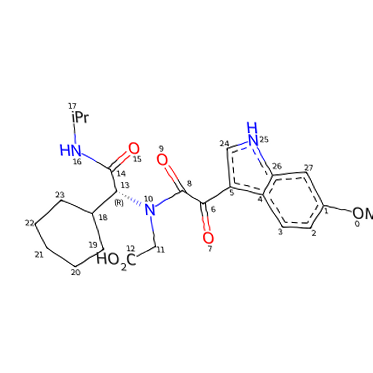 COc1ccc2c(C(=O)C(=O)N(CC(=O)O)[C@@H](C(=O)NC(C)C)C3CCCCC3)c[nH]c2c1